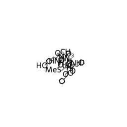 CSCC[C@H](NC(=O)[C@H](Cc1ccccc1)NC(=O)CNC(=O)[C@H](C)NC(=O)[C@H](Cc1ccc(O)cc1)NC(=O)OC(C)(C)C)C(=O)OCc1ccccc1